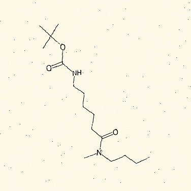 CCCCN(C)C(=O)CCCCCNC(=O)OC(C)(C)C